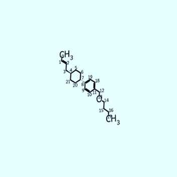 CC=CC[C@H]1CC[C@H](c2ccc(COCCCC)cc2)CC1